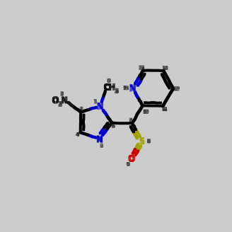 Cn1c([N+](=O)[O-])cnc1C(=S=O)c1ccccn1